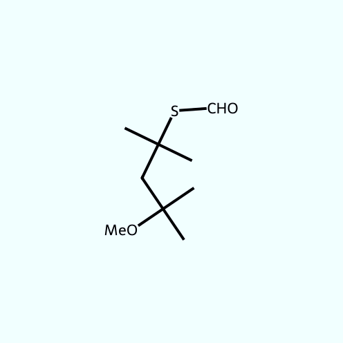 COC(C)(C)CC(C)(C)SC=O